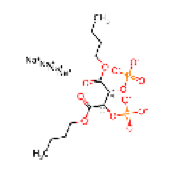 CCCCOC(=O)[C@H](OP(=O)([O-])[O-])[C@@H](OP(=O)([O-])[O-])C(=O)OCCCC.[Na+].[Na+].[Na+].[Na+]